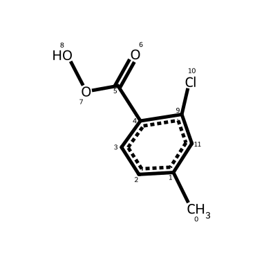 Cc1ccc(C(=O)OO)c(Cl)c1